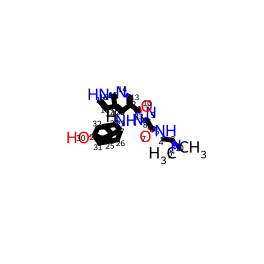 CN(C)CCNC(=O)c1noc(-c2cnc3[nH]ccc3c2N[C@H]2C3CC4CC2C[C@@](O)(C4)C3)n1